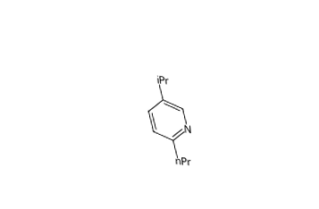 CCCc1ccc(C(C)C)cn1